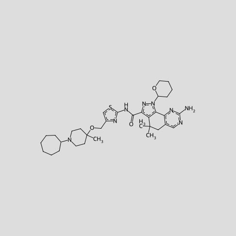 CC1(OCc2csc(NC(=O)c3nn(C4CCCCO4)c4c3C(C)(C)Cc3cnc(N)nc3-4)n2)CCN(C2CCCCCC2)CC1